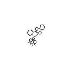 CC1(C)OB(c2cc3c(c4ccccc24)Oc2ccccc2O3)OC1(C)C